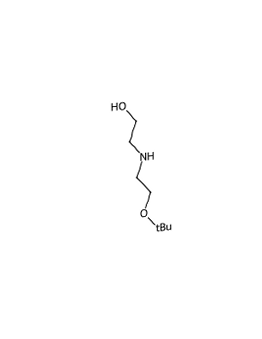 CC(C)(C)OCCNCCO